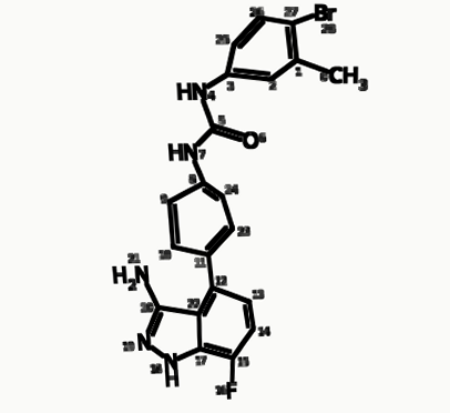 Cc1cc(NC(=O)Nc2ccc(-c3ccc(F)c4[nH]nc(N)c34)cc2)ccc1Br